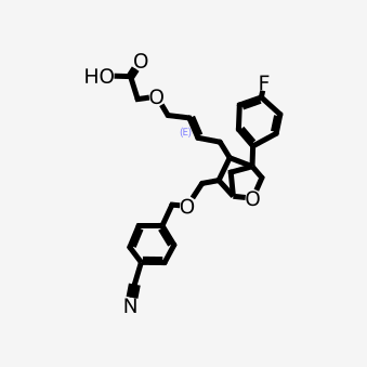 N#Cc1ccc(COCC2C3CC(c4ccc(F)cc4)(CO3)C2C/C=C/COCC(=O)O)cc1